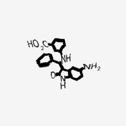 Nc1ccc2c(c1)C(=C(Nc1cccc(C(=O)O)c1)c1ccccc1)C(=O)N2